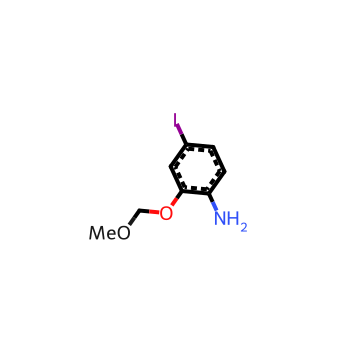 COCOc1cc(I)ccc1N